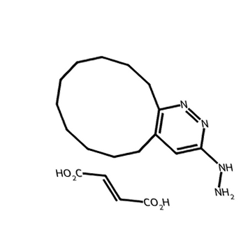 NNc1cc2c(nn1)CCCCCCCCCC2.O=C(O)C=CC(=O)O